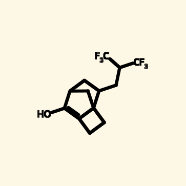 OC1=C2CCC23CC1CC3CC(C(F)(F)F)C(F)(F)F